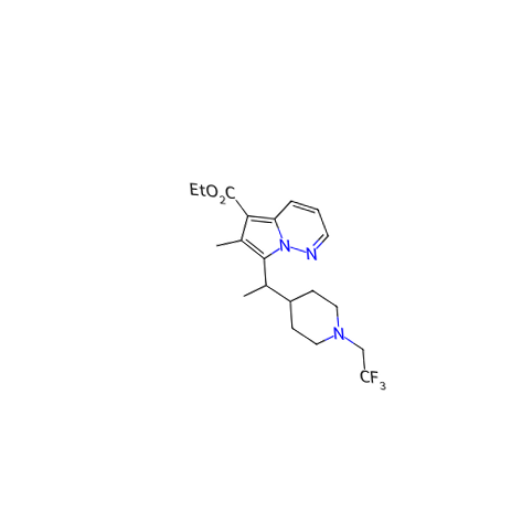 CCOC(=O)c1c(C)c(C(C)C2CCN(CC(F)(F)F)CC2)n2ncccc12